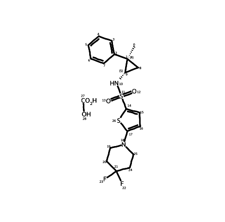 C[C@]1(c2ccccc2)C[C@@H]1NS(=O)(=O)c1ccc(N2CCC(F)(F)CC2)s1.O=C(O)O